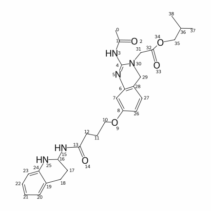 CC(=O)NC1=Nc2cc(OCCCC(=O)NC3CCc4ccccc4N3)ccc2CN1CC(=O)OCC(C)C